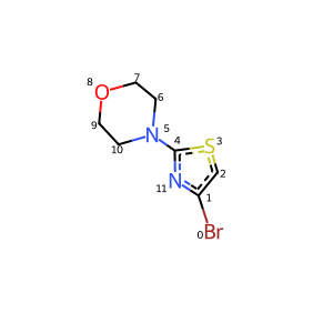 Brc1csc(N2CCOCC2)n1